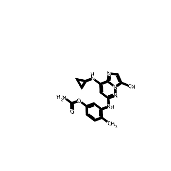 Cc1ccc(OC(N)=O)cc1Nc1cc(NC2CC2)c2ncc(C#N)n2n1